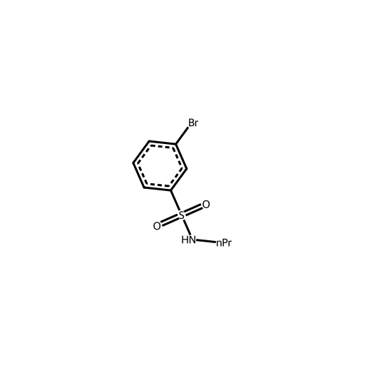 CCCNS(=O)(=O)c1cccc(Br)c1